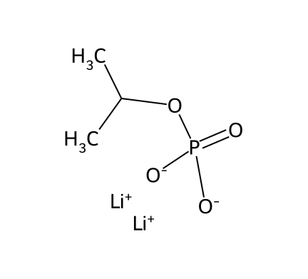 CC(C)OP(=O)([O-])[O-].[Li+].[Li+]